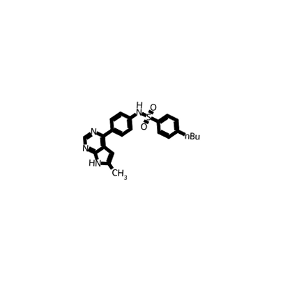 CCCCc1ccc(S(=O)(=O)Nc2ccc(-c3ncnc4[nH]c(C)cc34)cc2)cc1